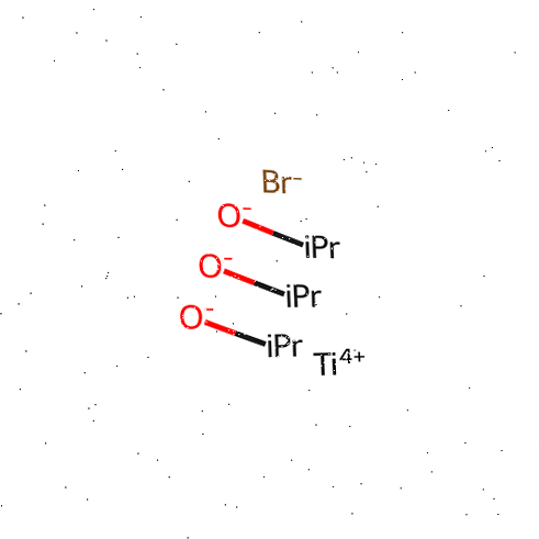 CC(C)[O-].CC(C)[O-].CC(C)[O-].[Br-].[Ti+4]